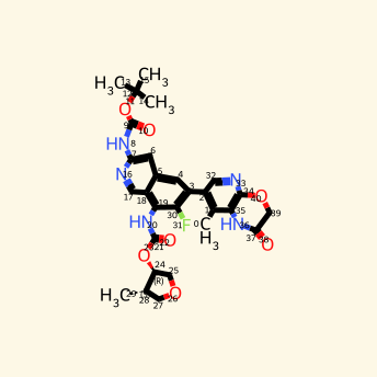 Cc1c(-c2cc3cc(NC(=O)OC(C)(C)C)ncc3c(NC(=O)O[C@H]3COC[C@@H]3C)c2F)cnc2c1NC(=O)CO2